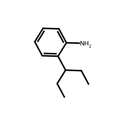 CCC(CC)c1ccccc1N